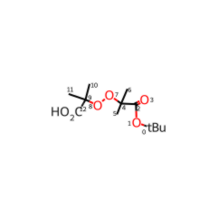 CC(C)(C)OC(=O)C(C)(C)OOC(C)(C)C(=O)O